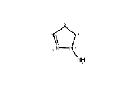 [NH]N1CCC=N1